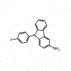 Nc1ccc2c(c1)c1ccccc1n2-c1ccc(F)cc1